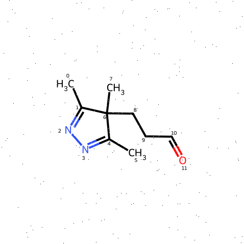 CC1=NN=C(C)C1(C)CCC=O